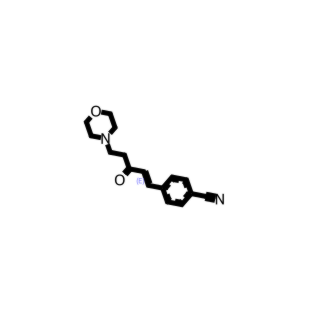 N#Cc1ccc(/C=C/C(=O)CCN2CCOCC2)cc1